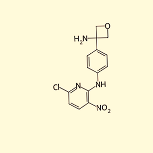 NC1(c2ccc(Nc3nc(Cl)ccc3[N+](=O)[O-])cc2)COC1